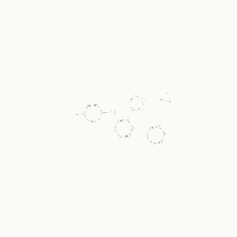 FC(F)(F)c1ccc(Nc2ccccc2-c2nnn(CC3(OCc4ccccc4)CC3)n2)cc1